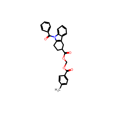 Cc1ccc(C(=O)OCOC(=O)C2CCc3c(c4ccccc4n3C(=O)c3ccccc3)C2)cc1